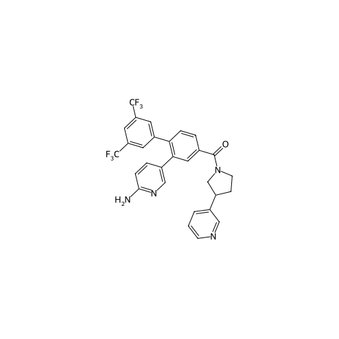 Nc1ccc(-c2cc(C(=O)N3CCC(c4cccnc4)C3)ccc2-c2cc(C(F)(F)F)cc(C(F)(F)F)c2)cn1